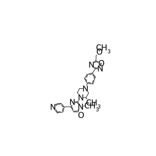 COCc1nc(-c2ccc(N3CCN(c4nc(-c5ccncc5)cc(=O)n4C)[C@H](C)C3)cc2)no1